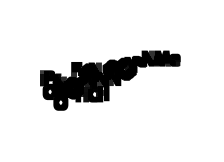 CNCCN1CCc2nc(Nc3ncc(F)c(-c4ccc5c(c4)N(C(C)C)C(=O)C5=O)n3)ccc2C1.Cl